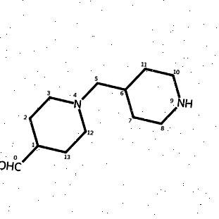 O=CC1CCN(CC2CCNCC2)CC1